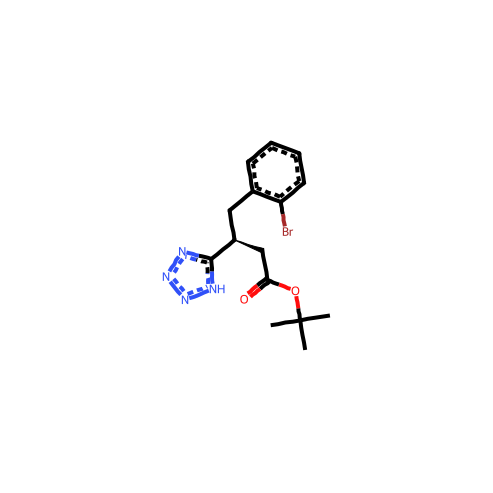 CC(C)(C)OC(=O)C[C@H](Cc1ccccc1Br)c1nnn[nH]1